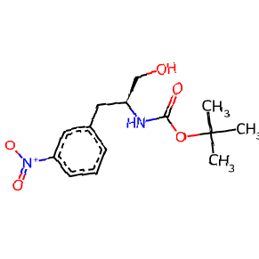 CC(C)(C)OC(=O)N[C@H](CO)Cc1cccc([N+](=O)[O-])c1